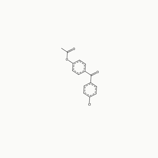 CC(=O)Oc1ccc(C(=O)c2ccc(Cl)cc2)cc1